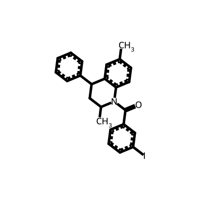 Cc1ccc2c(c1)C(c1ccccc1)CC(C)N2C(=O)c1cccc(I)c1